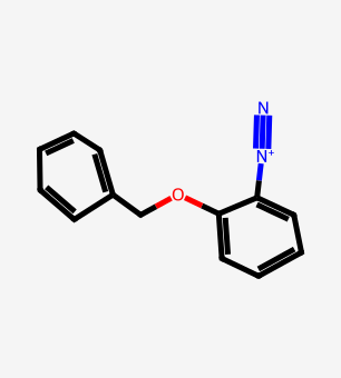 N#[N+]c1ccccc1OCc1ccccc1